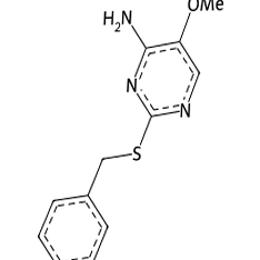 COc1cnc(SCc2ccccc2)nc1N